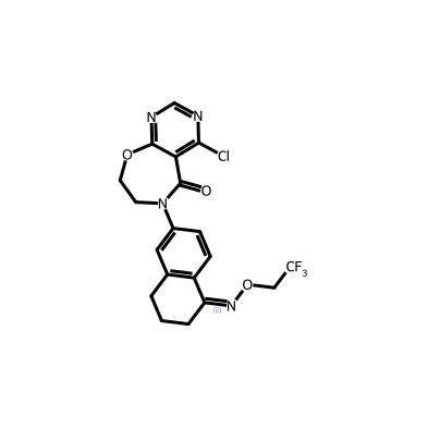 O=C1c2c(Cl)ncnc2OCCN1c1ccc2c(c1)CCC/C2=N/OCC(F)(F)F